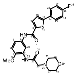 COc1ccc(NC(=O)c2ccc(-c3ccc(F)cc3)s2)cc1NC(=O)CN1CCOCC1